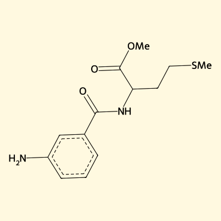 COC(=O)C(CCSC)NC(=O)c1cccc(N)c1